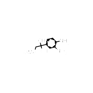 COCC(C)(C=O)c1ccc(N)c([N+](=O)[O-])c1